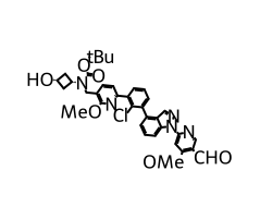 COc1cc(-n2ncc3c(-c4cccc(-c5ccc(CN(C(=O)OC(C)(C)C)[C@H]6C[C@@H](O)C6)c(OC)n5)c4Cl)cccc32)ncc1C=O